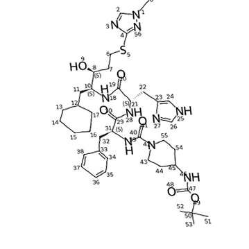 Cn1cnc(SCC[C@H](O)[C@H](CC2CCCCC2)NC(=O)[C@H](Cc2c[nH]cn2)NC(=O)[C@H](Cc2ccccc2)NC(=O)N2CCC(NC(=O)OC(C)(C)C)CC2)n1